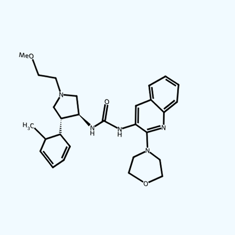 COCCN1C[C@@H](NC(=O)Nc2cc3ccccc3nc2N2CCOCC2)[C@H](C2C=CC=CC2C)C1